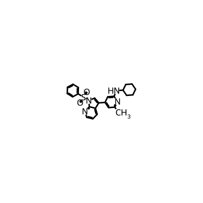 Cc1cc(-c2cn(S(=O)(=O)c3ccccc3)c3ncccc23)cc(NC2CCCCC2)n1